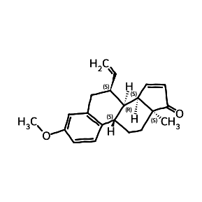 C=C[C@@H]1Cc2cc(OC)ccc2[C@H]2CC[C@]3(C)C(=O)C=C[C@@H]3[C@H]12